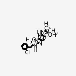 C[C@H](Nc1ncc2nc(NCCc3ccccc3Cl)n(C)c2n1)C(C)(C)O